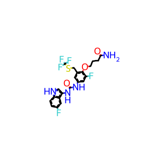 NC(=O)CCCOc1c(F)cc(NC(=O)Nc2c[nH]c3ccc(F)cc23)cc1CSC(F)(F)F